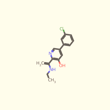 C=C(NCC)c1ncc(-c2cccc(Cl)c2)cc1O